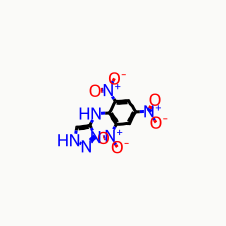 O=[N+]([O-])c1cc([N+](=O)[O-])c(Nc2c[nH]nn2)c([N+](=O)[O-])c1